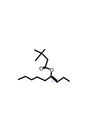 CC/C=C(/CCCCC)OC(=O)CC(C)(C)C